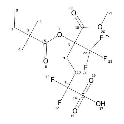 CCC(C)(C)C(=O)OC(CCC(F)(F)S(=O)(=O)O)(C(=O)OC)C(F)(F)F